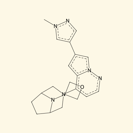 Cn1cc(-c2cc3c(N4CC5CCC(C4)N5C4COC4)ccnn3c2)cn1